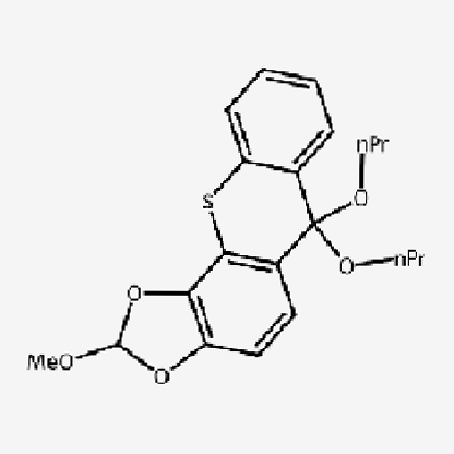 CCCOC1(OCCC)c2ccccc2Sc2c1ccc1c2OC(OC)O1